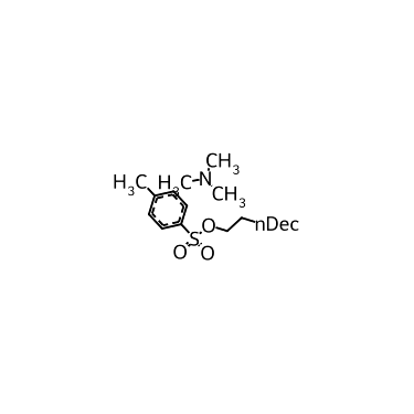 CCCCCCCCCCCCOS(=O)(=O)c1ccc(C)cc1.CN(C)C